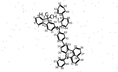 CC1(C)c2ccccc2-c2ccc(N(c3ccc(-c4ccc5c(c4)-c4cccc6cccc(c46)N5c4ccccc4)cc3)c3cccc(-c4ccccc4)c3)cc21